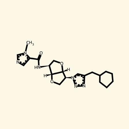 Cn1cncc1C(=O)N[C@H]1CO[C@H]2[C@@H]1OC[C@@H]2n1cc(CC2CCCCC2)nn1